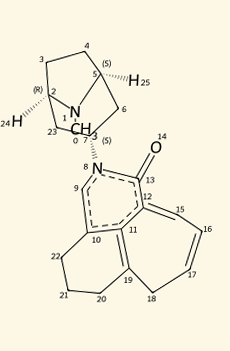 CN1[C@@H]2CC[C@H]1C[C@H](n1cc3c4c(c1=O)=CC=CCC=4CCC3)C2